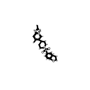 Cc1nc2cc(C)c(C3CCN(S(=O)(=O)c4ccc5c(c4)CCO5)CC3)cn2n1